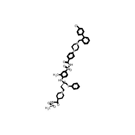 Cc1cc(S(=O)(=O)NC(=O)c2ccc(N3CCN(Cc4ccccc4-c4ccc(Cl)cc4)CC3)cc2)ccc1N[C@H](CCN1CCC(C(=O)NS(C)(=O)=O)CC1)CSc1ccccc1